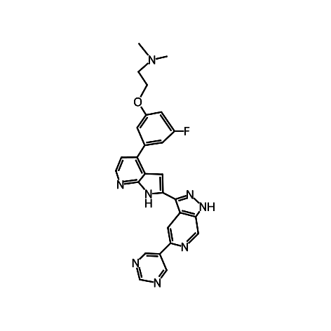 CN(C)CCOc1cc(F)cc(-c2ccnc3[nH]c(-c4n[nH]c5cnc(-c6cncnc6)cc45)cc23)c1